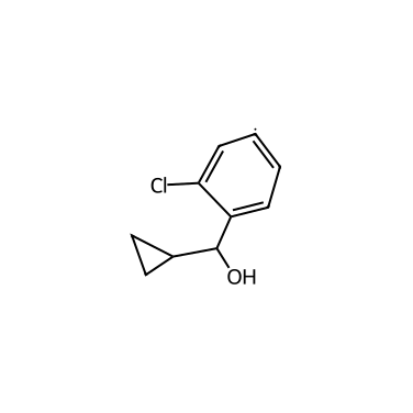 OC(c1cc[c]cc1Cl)C1CC1